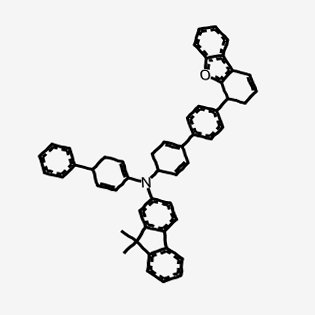 CC1(C)c2ccccc2-c2ccc(N(C3=CCC(c4ccccc4)C=C3)C3C=CC(c4ccc(C5CC=Cc6c5oc5ccccc65)cc4)=CC3)cc21